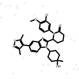 COc1ccc(N2C(=O)CCCC2c2nc3cc(-c4c(C)noc4C)ccc3n2C2CCC(C)(O)CC2)cc1Cl